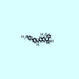 Cc1cccc(-c2[nH]cnc2-c2ccc3ncc(Nc4ccc(N5CCN(C)CC5)cn4)cc3n2)n1